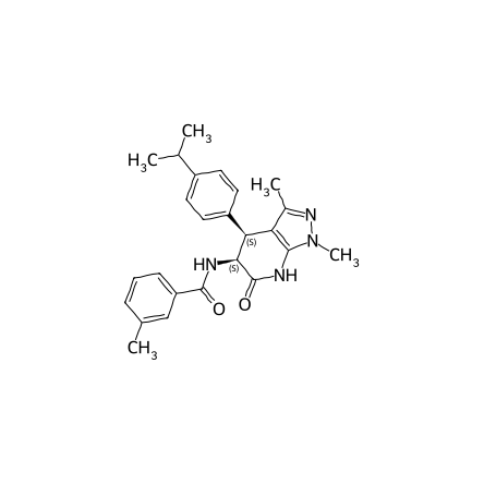 Cc1cccc(C(=O)N[C@@H]2C(=O)Nc3c(c(C)nn3C)[C@@H]2c2ccc(C(C)C)cc2)c1